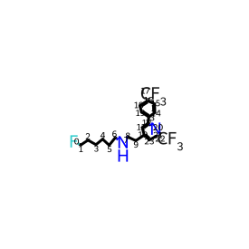 FCCCCCCNCCc1cc(-c2ccc(C(F)(F)F)cc2)nc(C(F)(F)F)c1